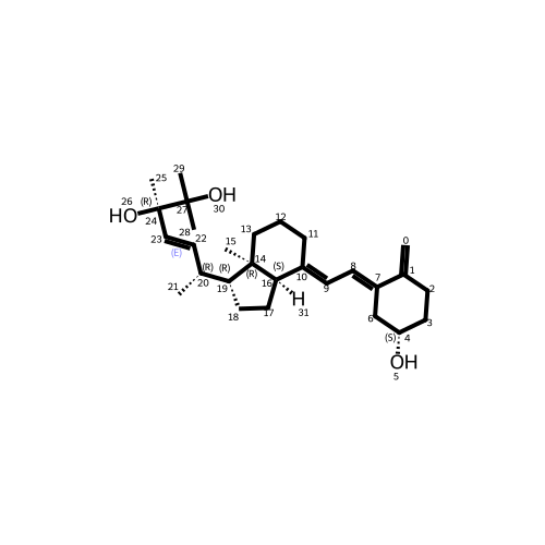 C=C1CC[C@H](O)CC1=CC=C1CCC[C@@]2(C)[C@@H]1CC[C@@H]2[C@H](C)/C=C/[C@@](C)(O)C(C)(C)O